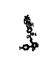 Cn1ncc(/C=C/C(=O)Nc2ccc(C[PH]3(O)OCC(C)(C)CO3)cc2)c1-c1ccc(F)cc1